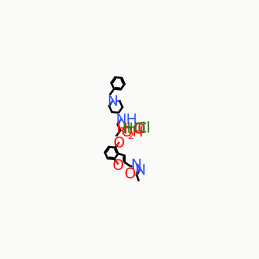 Cc1nnc(-c2cc3c(OC[C@@H](O)CNC4CCN(Cc5ccccc5)CC4)cccc3o2)o1.Cl.Cl.O